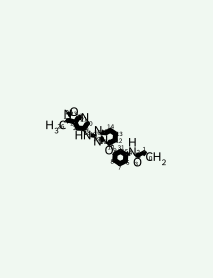 C=CC(=O)Nc1cccc(Oc2cccc3nc(Nc4cnc5onc(C)c5c4)nn23)c1